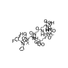 CC(C)[C@H](NC(=O)CCCCCN1C(=O)C=CC1=O)C(=O)N[C@@H](C)C(=O)N[C@@H](CCCC(N)C(=O)CCNC(=O)[C@@H](N)CCN(C(=O)CO)[C@@H](c1cc(-c2cc(F)ccc2F)cn1Cc1ccccc1)C(C)(C)C)C(=O)O